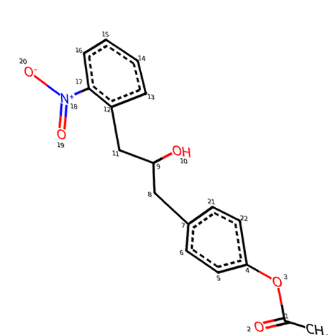 CC(=O)Oc1ccc(CC(O)Cc2ccccc2[N+](=O)[O-])cc1